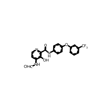 O=CNc1ccnc(C(=O)Nc2ccc(Oc3cccc(C(F)(F)F)c3)cc2)c1O